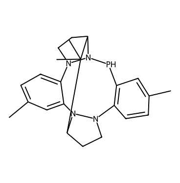 Cc1ccc2c(c1)[pH]n1n3c4ccc(C)cc4n4n2CCC4C(C)(C)C1CC3